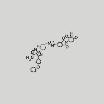 Nc1ncnc2c1c(-c1ccc(Oc3ccccc3)cc1)nn2C1CCC(CN2CC3CCC2CN3c2ccc3c(c2)C(=O)N(C2CCC(=O)NC2=O)C3=O)CC1F